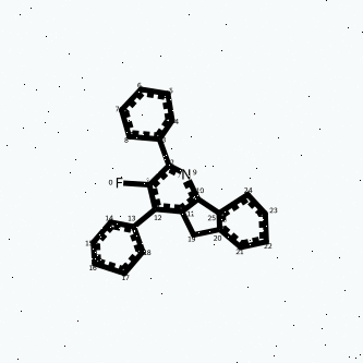 Fc1c(-c2ccccc2)nc2c(c1-c1ccccc1)Cc1ccccc1-2